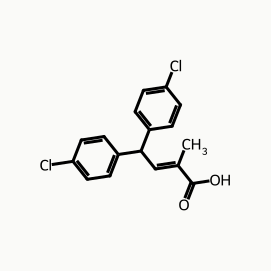 CC(=CC(c1ccc(Cl)cc1)c1ccc(Cl)cc1)C(=O)O